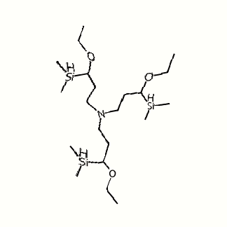 CCOC(CCN(CCC(OCC)[SiH](C)C)CCC(OCC)[SiH](C)C)[SiH](C)C